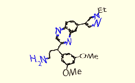 CCn1cc(-c2ccc3ncc(C(CCN)c4cc(OC)cc(OC)c4)nc3c2)cn1